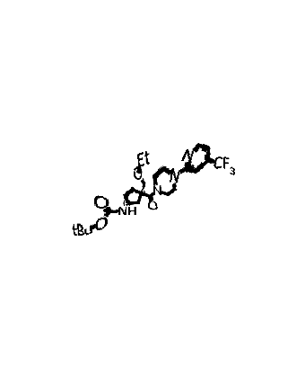 CCOC[C@]1(C(=O)N2CCN(c3cc(C(F)(F)F)ccn3)CC2)C=C[C@@H](NC(=O)OC(C)(C)C)C1